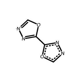 C1=[N+]N=C(c2nnco2)O1